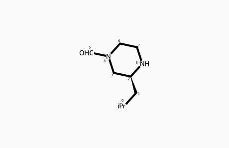 CC(C)C[C@H]1CN(C=O)CCN1